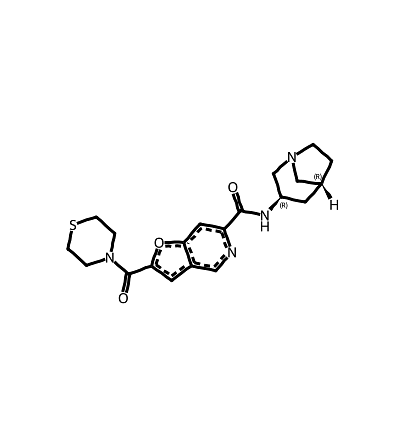 O=C(N[C@@H]1C[C@H]2CCN(C2)C1)c1cc2oc(C(=O)N3CCSCC3)cc2cn1